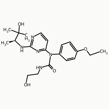 CCOc1ccc(N(C(=O)NCCO)c2ccnc(N[C@@H](C)C(C)(C)O)n2)cc1